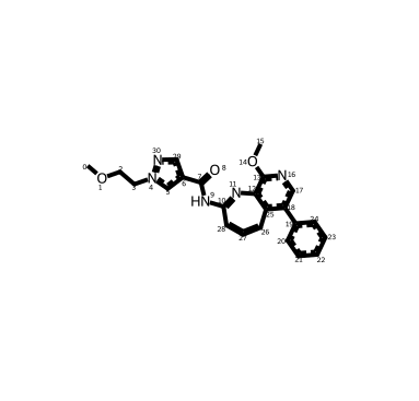 COCCn1cc(C(=O)NC2=Nc3c(OC)ncc(-c4ccccc4)c3C=C=C2)cn1